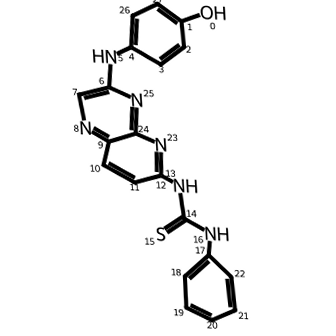 Oc1ccc(Nc2cnc3ccc(NC(=S)Nc4ccccc4)nc3n2)cc1